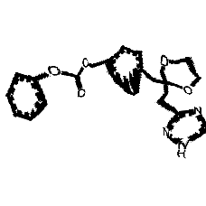 O=C(Oc1ccccc1)Oc1ccc(C2(Cc3nc[nH]n3)OCCO2)cc1